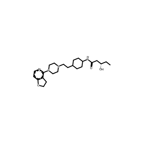 CC[C@H](O)CC(=O)NC1CCC(CCN2CCN(c3nccc4c3CCO4)CC2)CC1